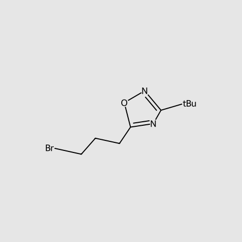 CC(C)(C)c1noc(CCCBr)n1